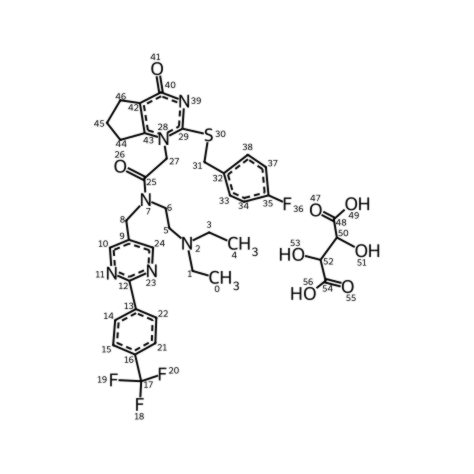 CCN(CC)CCN(Cc1cnc(-c2ccc(C(F)(F)F)cc2)nc1)C(=O)Cn1c(SCc2ccc(F)cc2)nc(=O)c2c1CCC2.O=C(O)C(O)C(O)C(=O)O